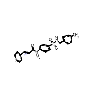 Cc1ccc(CNS(=O)(=O)c2ccc(NC(=O)/C=C/c3ccncc3)cc2)cc1